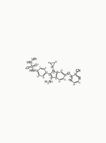 CC(C)NS(=O)(=O)Nc1ccc(-c2c(N)c3ccc(Oc4nccnc4C#N)cc3n2C2CC2)cc1